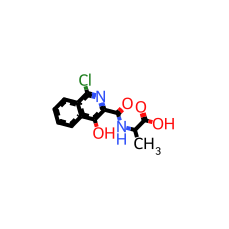 CC(NC(=O)c1nc(Cl)c2ccccc2c1O)C(=O)O